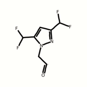 O=[C]Cn1nc(C(F)F)cc1C(F)F